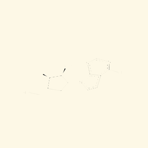 OC[C@H]1C[C@@H](n2ccc3c(C(F)(F)F)ncnc32)[C@H](O)[C@@H]1O